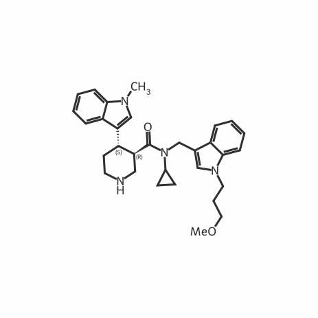 COCCCn1cc(CN(C(=O)[C@H]2CNCC[C@@H]2c2cn(C)c3ccccc23)C2CC2)c2ccccc21